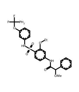 CCOc1cc(NC(=O)C(OC)c2ccccc2)ccc1S(=O)(=O)Nc1cccc(OC(F)(F)P)c1